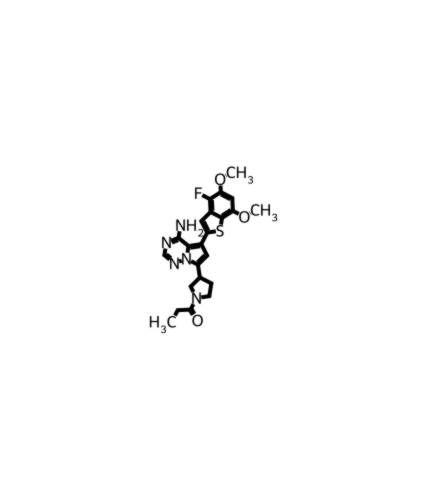 CCC(=O)N1CCC(c2cc(-c3cc4c(F)c(OC)cc(OC)c4s3)c3c(N)ncnn23)C1